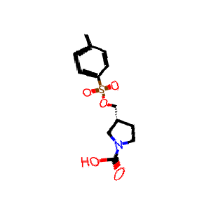 Cc1ccc(S(=O)(=O)OC[C@@H]2CCN(C(=O)O)C2)cc1